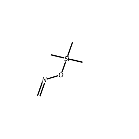 C=NO[Si](C)(C)C